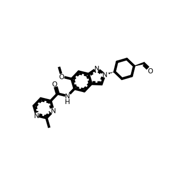 COc1cc2nn([C@H]3CC[C@H](C=O)CC3)cc2cc1NC(=O)c1ccnc(C)n1